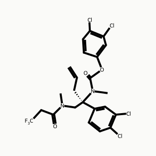 C=CC[C@@](CN(C)C(=O)CC(F)(F)F)(c1ccc(Cl)c(Cl)c1)N(C)C(=O)Oc1ccc(Cl)c(Cl)c1